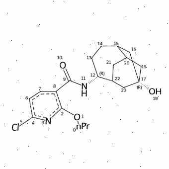 CCCOc1nc(Cl)ccc1C(=O)N[C@@H]1CCC2C[C@@]3(O)CC2CC1C3